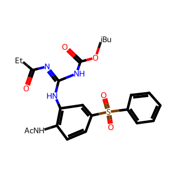 CCC(=O)N=C(NC(=O)OC(C)CC)Nc1cc(S(=O)(=O)c2ccccc2)ccc1NC(C)=O